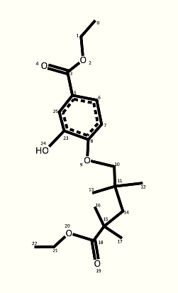 CCOC(=O)c1ccc(OCC(C)(C)CC(C)(C)C(=O)OCC)c(O)c1